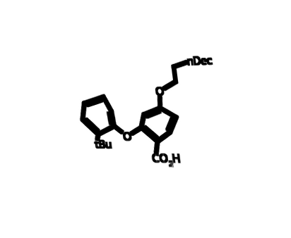 CCCCCCCCCCCCOc1ccc(C(=O)O)c(Oc2ccccc2C(C)(C)C)c1